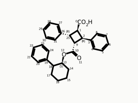 O=C(O)[C@H]1[C@@H](c2ccccc2)[C@H](C(=O)O[C@H]2CCCCC2c2ccccc2)[C@@H]1c1ccccc1